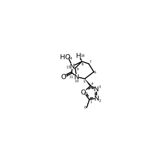 Cc1nnc([C@@H]2CC[C@@H]3CN2C(=O)N3O)o1